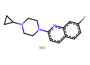 Cl.Fc1ccc2ccc(N3CCN(C4CC4)CC3)nc2c1